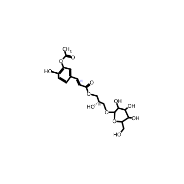 CC(=O)Oc1cc(/C=C/C(=O)OC[C@@H](O)COC2OC(CO)C(O)C(O)C2O)ccc1O